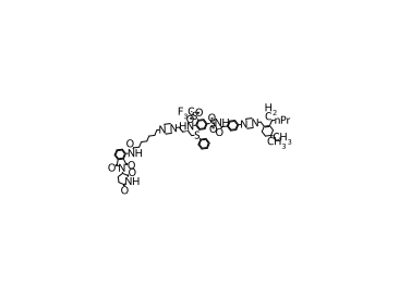 C=C(CCC)C1=C(CN2CCN(c3ccc(C(=O)NS(=O)(=O)c4ccc(N[C@H](CCN5CCN(CCCCCCC(=O)Nc6cccc7c6C(=O)N(C6CCC(=O)NC6=O)C7=O)CC5)CSc5ccccc5)c(S(=O)(=O)C(F)(F)F)c4)cc3)CC2)CCC(C)(C)C1